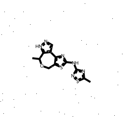 Cc1nc(Nc2nc3c(s2)COC(C)c2[nH]ncc2-3)ns1